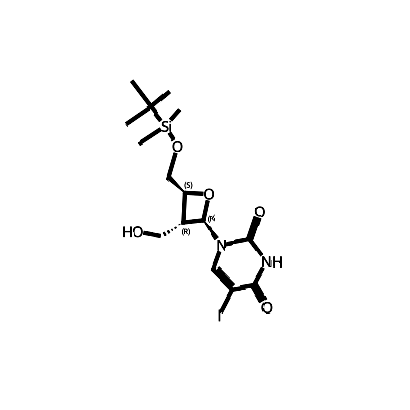 CC(C)(C)[Si](C)(C)OC[C@H]1O[C@@H](n2cc(I)c(=O)[nH]c2=O)[C@@H]1CO